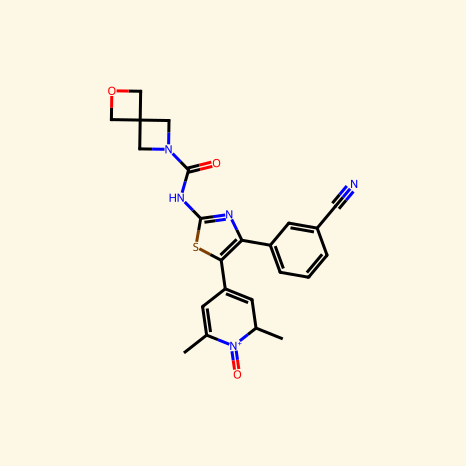 CC1=CC(c2sc(NC(=O)N3CC4(COC4)C3)nc2-c2cccc(C#N)c2)=CC(C)[N+]1=O